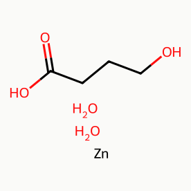 O.O.O=C(O)CCCO.[Zn]